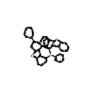 c1ccc(-c2cc3oc4cccc(N(c5ccccc5)c5cccc6sc7ccccc7c56)c4c3c3ccccc23)cc1